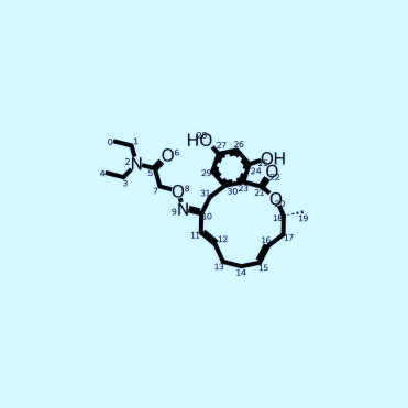 CCN(CC)C(=O)CO/N=C1/C=C/CC/C=C/C[C@@H](C)OC(=O)c2c(O)cc(O)cc2C1